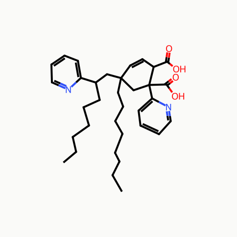 CCCCCCCCC1(CC(CCCCCC)c2ccccn2)C=CC(C(=O)O)C(C(=O)O)(c2ccccn2)C1